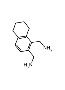 NCc1ccc2c(c1CN)CCCC2